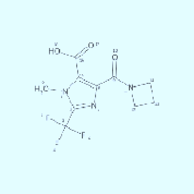 Cn1c(C(F)(F)F)nc(C(=O)N2CCC2)c1C(=O)O